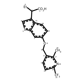 CCC(C(=O)O)c1csc2cc(OCc3ccc(C(F)(F)F)nc3C)ccc12